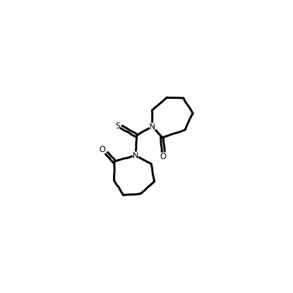 O=C1CCCCCN1C(=S)N1CCCCCC1=O